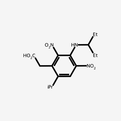 CCC(CC)Nc1c([N+](=O)[O-])cc(C(C)C)c(CC(=O)O)c1[N+](=O)[O-]